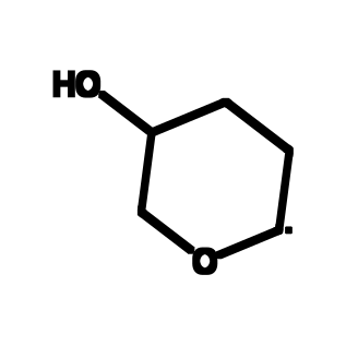 OC1CC[CH]OC1